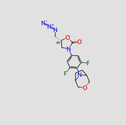 [N-]=[N+]=NC[C@H]1CN(c2cc(F)c(N3C4CCC3COC4)c(F)c2)C(=O)O1